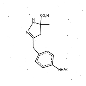 CC(=O)Nc1ccc(CC2=NNC(C)(C(=O)O)C2)cc1